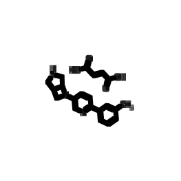 Cc1cccc(-c2ccc(N3CC4CNCC43)cn2)c1.O=C(O)C=CC(=O)O